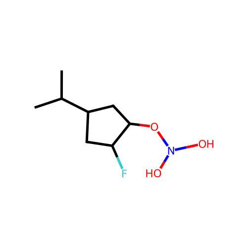 CC(C)C1CC(F)C(ON(O)O)C1